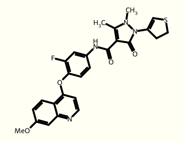 COc1ccc2c(Oc3ccc(NC(=O)c4c(C)n(C)n(C5=CSCC5)c4=O)cc3F)ccnc2c1